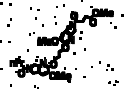 CCCC(=O)N1Cc2cc(OC)c(OCCCOc3nc4c(cc3OC)CN(C(=O)CCC(=O)OC)C4)nc2C1